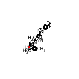 Cc1ccc(C(C)C)c(N2C(=O)CS/C2=N\C(=O)Nc2ncc(-c3ncn(-c4ccc(C(F)(F)F)cc4)n3)cc2C)c1